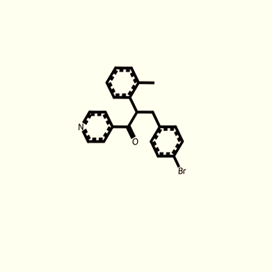 Cc1ccccc1C(Cc1ccc(Br)cc1)C(=O)c1ccncc1